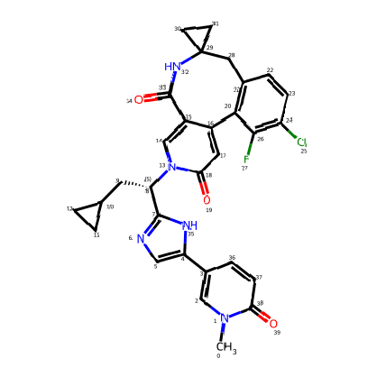 Cn1cc(-c2cnc([C@H](CC3CC3)n3cc4c(cc3=O)-c3c(ccc(Cl)c3F)CC3(CC3)NC4=O)[nH]2)ccc1=O